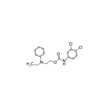 CCN(CCOC(=O)Nc1ccc(Cl)c(Cl)c1)c1ccccc1